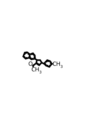 CC(=O)C1=CC(c2ccc(C)cc2)CC1c1ccc2ccccc2c1